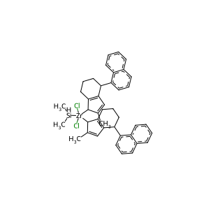 CC1=CC2=C(CCCC2c2cccc3ccccc23)[CH]1[Zr]([Cl])([Cl])([CH]1C(C)=CC2=C1CCCC2c1cccc2ccccc12)[SiH](C)C